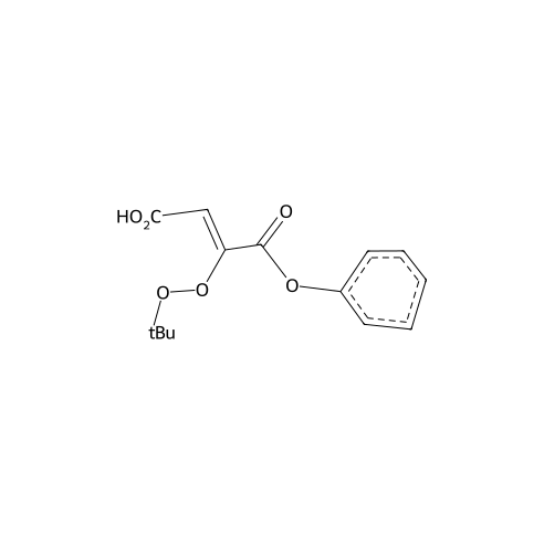 CC(C)(C)OOC(=CC(=O)O)C(=O)Oc1ccccc1